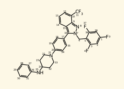 Fc1cc(F)c(Cn2nc3c(C(F)(F)F)cccc3c2-c2ccc(N3CCC(Nc4ccccc4)CC3)cc2)c(F)c1